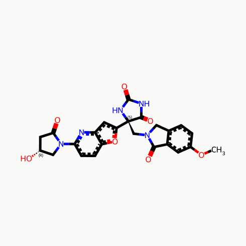 COc1ccc2c(c1)C(=O)N(C[C@@]1(c3cc4nc(N5C[C@H](O)CC5=O)ccc4o3)NC(=O)NC1=O)C2